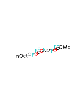 CCCCCCCCC1CCC(CC(F)COc2ccc(OCC(F)CC3CCC(CC(F)COc4ccc(OC)c(F)c4F)CC3)c(F)c2F)CC1